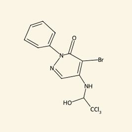 O=c1c(Br)c(NC(O)C(Cl)(Cl)Cl)cnn1-c1ccccc1